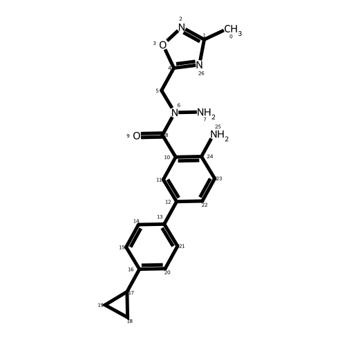 Cc1noc(CN(N)C(=O)c2cc(-c3ccc(C4CC4)cc3)ccc2N)n1